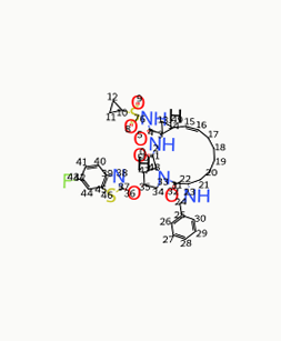 O=C1N[C@]2(C(=O)NS(=O)(=O)C3CC3)C[C@H]2/C=C\CCCCC[C@H](NCc2ccccc2)C(=O)N2C[C@H](Oc3nc4ccc(F)cc4s3)C[C@@H]12